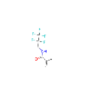 C=C(C)C(=O)NCC(F)(F)C(F)(F)F